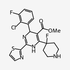 COC(=O)C1=C(C2(F)CCNCC2)NC(c2nccs2)=NC1c1cccc(F)c1Cl